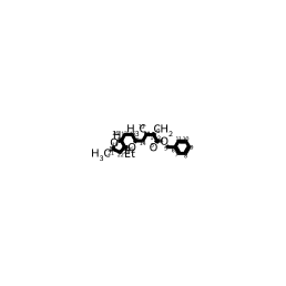 C=C(C(=O)OCc1ccccc1)[C@H](C)CC1CC[C@@H]2O[C@@H](C)C[C@]2(CC)O1